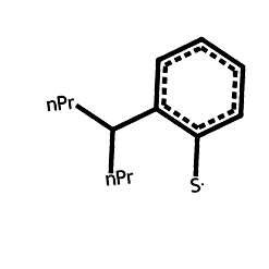 CCCC(CCC)c1ccccc1[S]